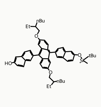 CCCCC(CC)COc1ccc2c(-c3ccc4cc(O[Si](C)(C)C(C)(C)C)ccc4c3)c3cc(OCC(CC)CCCC)ccc3c(-c3ccc4cc(O)ccc4c3)c2c1